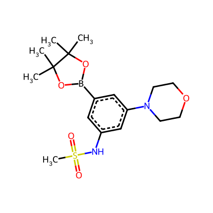 CC1(C)OB(c2cc(NS(C)(=O)=O)cc(N3CCOCC3)c2)OC1(C)C